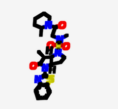 CC1CCCCN1C(=O)CN(C)S(=O)(=O)N1CC[C@H]2[C@H]1[C@H](C)C(=O)N2c1nc2ccccc2s1